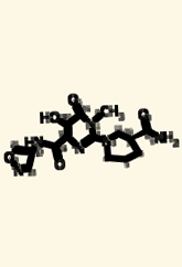 Cn1c(N2CCC[C@H](C(N)=O)C2)nc(C(=O)Nc2cnoc2)c(O)c1=O